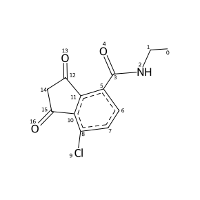 CCNC(=O)c1ccc(Cl)c2c1C(=O)CC2=O